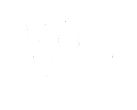 COc1ccc(C(=O)N2c3ccccc3-c3ccc(F)cc3C2C)cc1Br